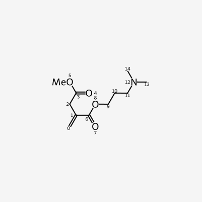 C=C(CC(=O)OC)C(=O)OCCCN(C)C